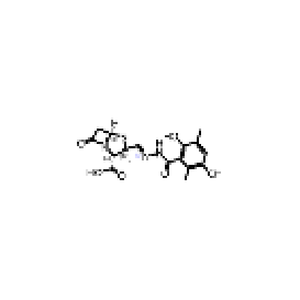 Cc1cc(O)c(C)c(C(=O)N/N=C/[C@]2(C)S[C@@H]3CC(=O)N3[C@H]2C(=O)O)c1O